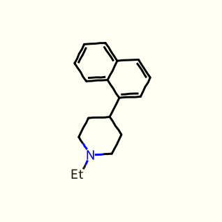 [CH2]CN1CCC(c2cccc3ccccc23)CC1